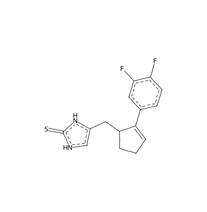 Fc1ccc(C2=CCCC2Cc2c[nH]c(=S)[nH]2)cc1F